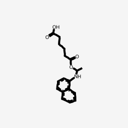 CC(Nc1cccc2ccccc12)OC(=O)CCCCC(=O)O